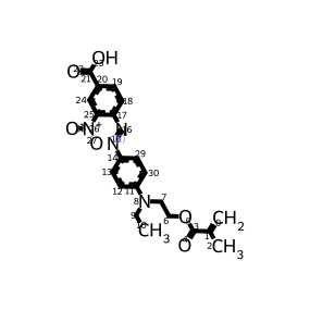 C=C(C)C(=O)OCCN(CC)c1ccc(/N=N/c2ccc(C(=O)O)cc2[N+](=O)[O-])cc1